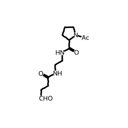 CC(=O)N1CCCC1C(=O)NCCNC(=O)CCC=O